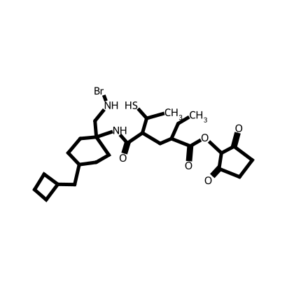 CCC(CC(C(=O)NC1(CNBr)CCC(CC2CCC2)CC1)C(C)S)C(=O)OC1C(=O)CCC1=O